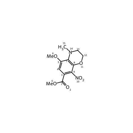 COC(=O)c1cc(OC)c2c(c1[N+](=O)[O-])OCCN2C